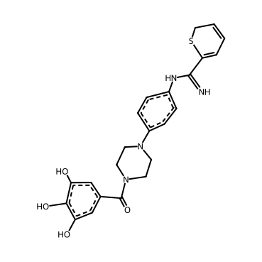 N=C(Nc1ccc(N2CCN(C(=O)c3cc(O)c(O)c(O)c3)CC2)cc1)C1=CC=CCS1